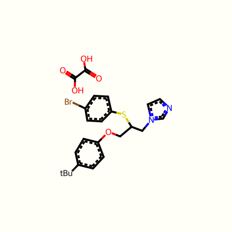 CC(C)(C)c1ccc(OCC(Cn2ccnc2)Sc2ccc(Br)cc2)cc1.O=C(O)C(=O)O